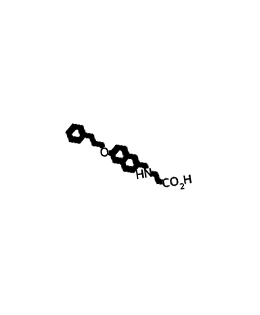 O=C(O)CCNCc1ccc2cc(OCCCc3ccccc3)ccc2c1